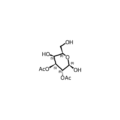 CC(=O)O[C@@H]1[C@@H](OC(C)=O)[C@@H](O)[C@@H](CO)O[C@H]1O